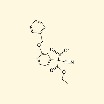 CCOC(=O)C(C#N)(c1cccc(OCc2ccccc2)c1)[N+](=O)[O-]